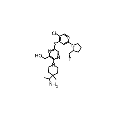 CC(N)C1(C)CCN(c2ncc(Sc3cc(N4CCCC4CF)ncc3Cl)nc2CO)CC1